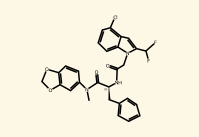 CN(C(=O)[C@H](Cc1ccccc1)NC(=O)Cn1c(C(F)F)cc2c(Cl)cccc21)c1ccc2c(c1)OCO2